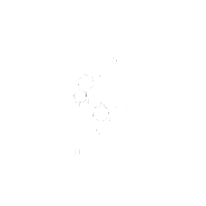 Cc1nc(N2CCC(O)C2)cc(-n2ncc3cc(C)c([C@H]4CCN(C)C[C@H]4F)cc32)n1